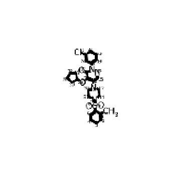 Cc1ccccc1S(=O)(=O)N1CCN(c2cnn(-c3cccc(Cl)c3)c(=O)c2OC2CCCC2)CC1